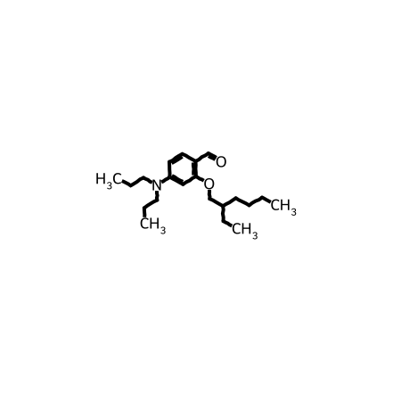 CCCCC(CC)COc1cc(N(CCC)CCC)ccc1C=O